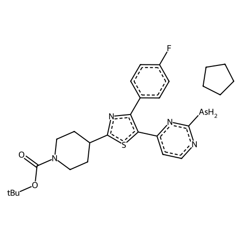 C1CCCC1.CC(C)(C)OC(=O)N1CCC(c2nc(-c3ccc(F)cc3)c(-c3ccnc([AsH2])n3)s2)CC1